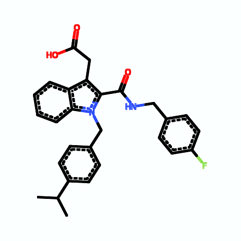 CC(C)c1ccc(Cn2c(C(=O)NCc3ccc(F)cc3)c(CC(=O)O)c3ccccc32)cc1